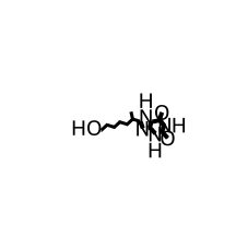 CC(CCCCCO)c1nc2[nH]c(=O)[nH]c(=O)c2[nH]1